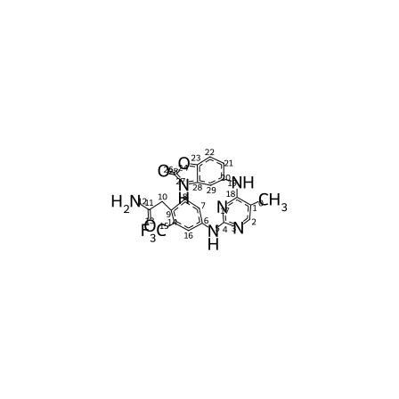 Cc1cnc(Nc2ccc(CC(N)=O)c(C(F)(F)F)c2)nc1Nc1ccc2oc(=O)[nH]c2c1